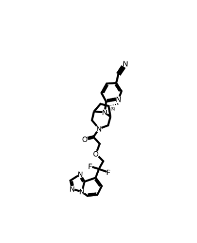 C[C@H]1CC2CN(C(=O)COCC(F)(F)c3cccn4ncnc34)CC1N2c1ccc(C#N)cn1